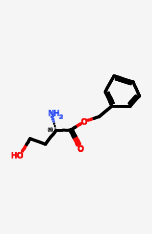 N[C@@H](CCO)C(=O)OCc1ccccc1